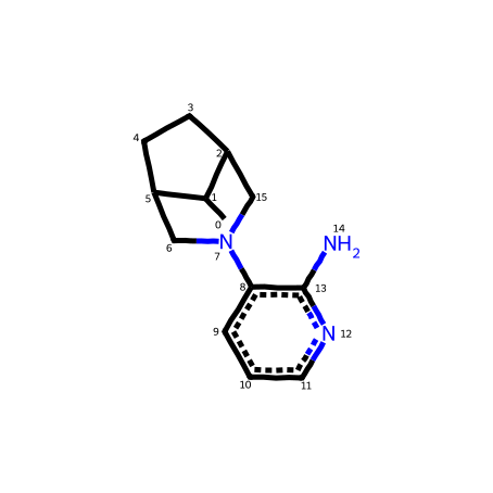 CC1C2CCC1CN(c1cccnc1N)C2